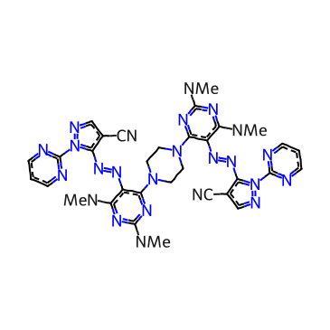 CNc1nc(NC)c(/N=N/c2c(C#N)cnn2-c2ncccn2)c(N2CCN(c3nc(NC)nc(NC)c3/N=N/c3c(C#N)cnn3-c3ncccn3)CC2)n1